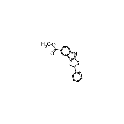 COC(=O)c1ccc2nc3n(c2c1)CC(c1ccccn1)S3